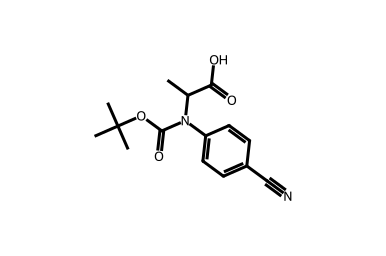 CC(C(=O)O)N(C(=O)OC(C)(C)C)c1ccc(C#N)cc1